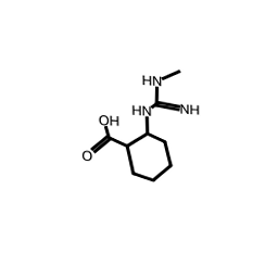 CNC(=N)NC1CCCCC1C(=O)O